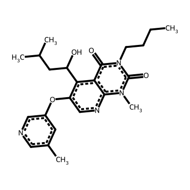 CCCCn1c(=O)c2c(C(O)CC(C)C)c(Oc3cncc(C)c3)cnc2n(C)c1=O